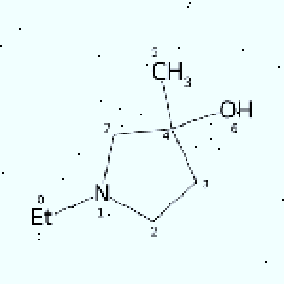 [CH2]CN1CCC(C)(O)C1